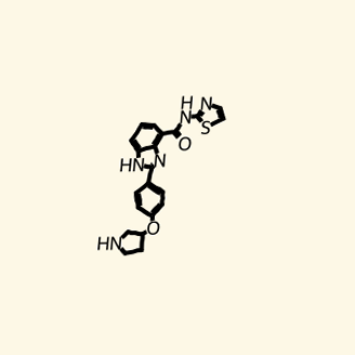 O=C(Nc1nccs1)c1cccc2[nH]c(-c3ccc(OC4CCNC4)cc3)nc12